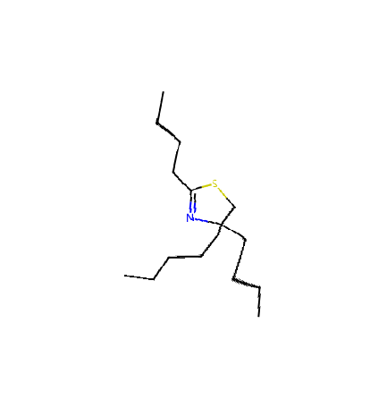 CCCCC1=NC(CCCC)(CCCC)CS1